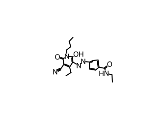 CCCCn1c(O)c(/N=N/c2ccc(C(=O)NCC)cc2)c(CC)c(C#N)c1=O